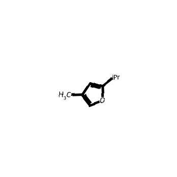 Cc1coc(C(C)C)c1